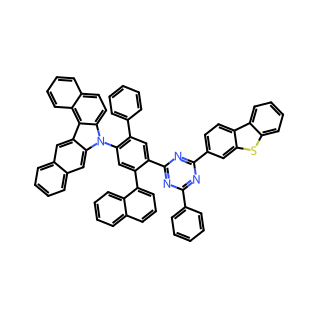 c1ccc(-c2nc(-c3ccc4c(c3)sc3ccccc34)nc(-c3cc(-c4ccccc4)c(-n4c5cc6ccccc6cc5c5c6ccccc6ccc54)cc3-c3cccc4ccccc34)n2)cc1